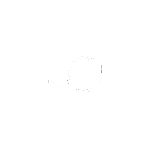 NCc1ccccccccc1